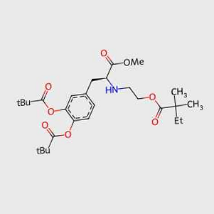 CCC(C)(C)C(=O)OCCN[C@@H](Cc1ccc(OC(=O)C(C)(C)C)c(OC(=O)C(C)(C)C)c1)C(=O)OC